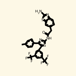 Cc1ccc(-c2nc(NC(=O)Cc3ccc4nc(N)sc4c3)sc2-c2cc(C(F)(F)F)cc(C(F)(F)F)c2)cc1